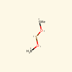 BOSOSC